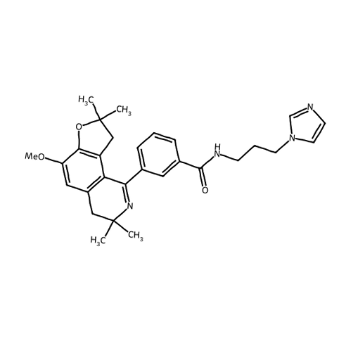 COc1cc2c(c3c1OC(C)(C)C3)C(c1cccc(C(=O)NCCCn3ccnc3)c1)=NC(C)(C)C2